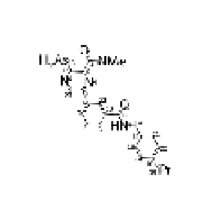 CNC(=O)c1nc(-c2cccc(C(=O)NCc3ccc(C(C)C)cc3)c2)cnc1[AsH2]